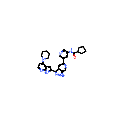 O=C(Nc1cncc(-c2cc3c(-c4cc5c(N6CCCCC6)ccnc5[nH]4)n[nH]c3cn2)c1)C1CCCC1